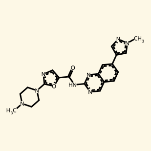 CN1CCN(c2ncc(C(=O)Nc3ncc4ccc(-c5cnn(C)c5)cc4n3)o2)CC1